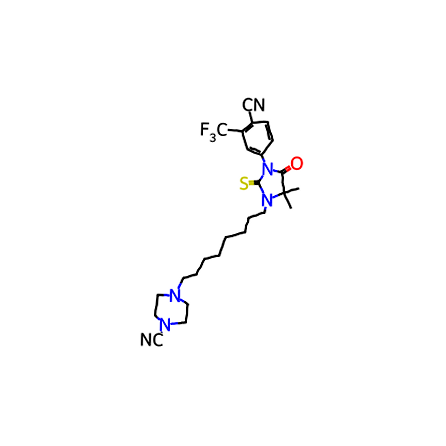 CC1(C)C(=O)N(c2ccc(C#N)c(C(F)(F)F)c2)C(=S)N1CCCCCCCCN1CCN(C#N)CC1